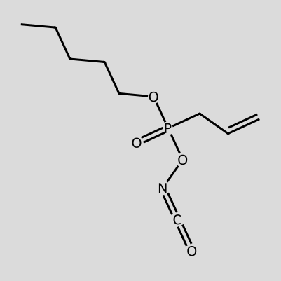 C=CCP(=O)(OCCCCC)ON=C=O